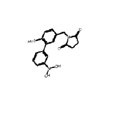 COc1ccc(CN2C(=O)CCC2=O)cc1-c1cccc(N(O)O)c1